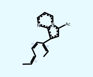 C\C=C/C=C\C(=C/C)c1cc(C(C)=O)n2cccnc12